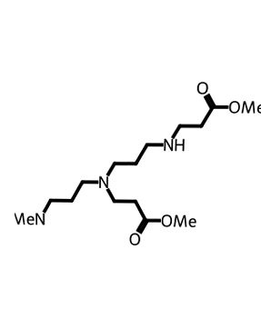 CNCCCN(CCCNCCC(=O)OC)CCC(=O)OC